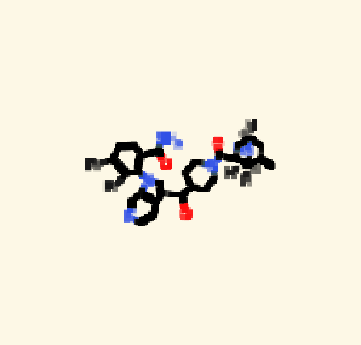 C=C1C[C@@H]2CC[C@H]1[C@@H](C(=O)N1CCC(C(=O)c3cn(-c4c(C(N)=O)ccc(C(C)C)c4C(C)C)c4cnccc34)CC1)N2